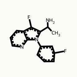 CC(N)c1c(F)c2cccnc2n1-c1cccc(F)c1